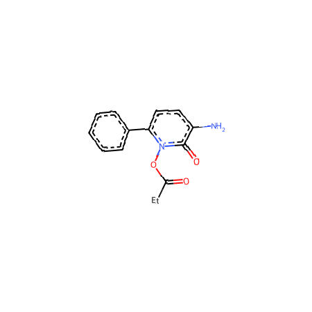 CCC(=O)On1c(-c2ccccc2)ccc(N)c1=O